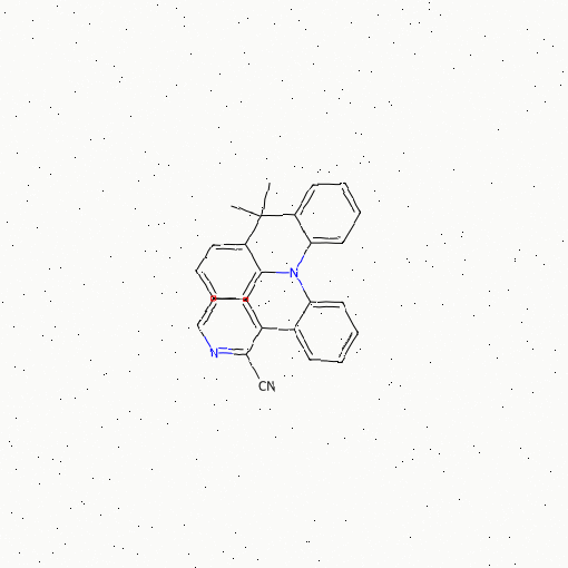 CC1(C)c2ccccc2N(c2ccccc2-c2cccnc2C#N)c2ccccc21